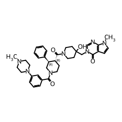 CN1CCN(c2cccc(C(=O)N3CC[C@@H](C(=O)N4CCC(O)(Cn5cnc6c(ccn6C)c5=O)CC4)[C@H](c4ccccc4)C3)c2)CC1